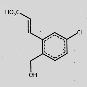 O=C(O)/C=C/c1cc(Cl)ccc1CO